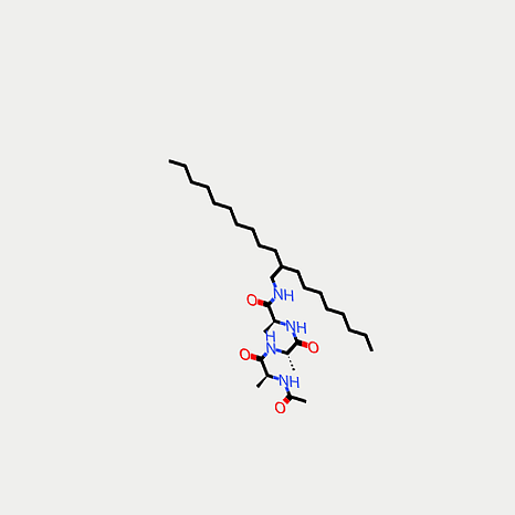 CCCCCCCCCCC(CCCCCCCC)CNC(=O)[C@H](C)NC(=O)[C@H](C)NC(=O)[C@H](C)NC(C)=O